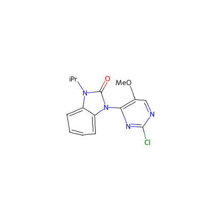 COc1cnc(Cl)nc1-n1c(=O)n(C(C)C)c2ccccc21